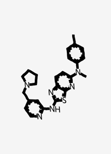 Cc1ccc(N(C)c2ccc3nc(Nc4cc(CN5CCCC5)ccn4)sc3n2)cc1